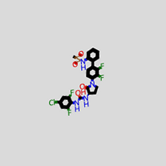 CS(=O)(=O)Nc1ccccc1-c1ccc(N2CC[C@@H](NC(O)Nc3c(F)cc(Cl)cc3F)C2=O)c(F)c1F